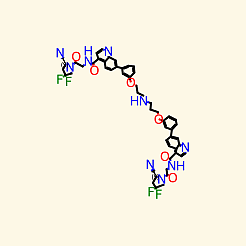 N#C[C@@H]1CC(F)(F)CN1C(=O)CNC(=O)c1ccnc2cc(-c3cccc(OCCCNCCCOc4cccc(-c5ccc6c(C(=O)NCC(=O)N7CC(F)(F)C[C@H]7C#N)ccnc6c5)c4)c3)ccc12